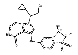 C[C@H]1[C@H](O)c2cc(Nc3nn(C(CC#N)C4CC4)c4cc[nH]c(=O)c34)ccc2S1(=O)=O